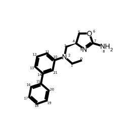 CCN(C[C@H]1COC(N)=N1)c1cccc(-c2ccccc2)c1